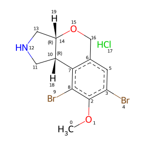 COc1c(Br)cc2c(c1Br)[C@@H]1CNC[C@@H]1OC2.Cl